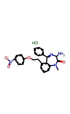 CN1C(=O)C(N)N=C(c2ccccc2)c2c(CCOc3ccc([N+](=O)[O-])cc3)cccc21.Cl